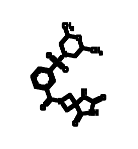 CC1CN(S(=O)(=O)c2cccc(C(=O)N3CC4(C3)NC(=O)NC4=O)c2)CC(C)O1